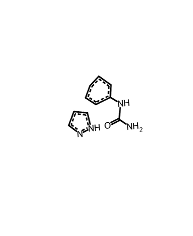 NC(=O)Nc1ccccc1.c1cn[nH]c1